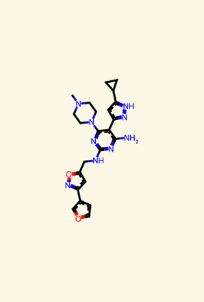 CN1CCN(c2nc(NCc3cc(-c4ccoc4)no3)nc(N)c2-c2cc(C3CC3)[nH]n2)CC1